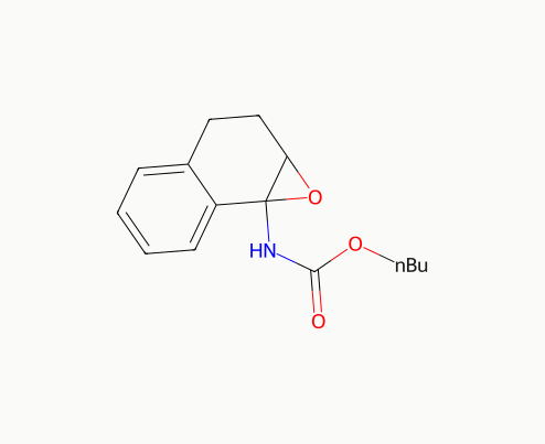 CCCCOC(=O)NC12OC1CCc1ccccc12